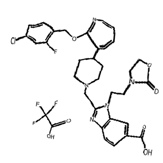 O=C(O)C(F)(F)F.O=C(O)c1ccc2nc(CN3CCC(c4cccnc4OCc4ccc(Cl)cc4F)CC3)n(CCN3CCOC3=O)c2c1